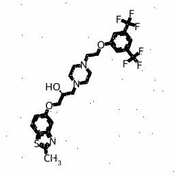 Cc1nc2cc(OC[C@H](O)CN3CCN(CCOc4cc(C(F)(F)F)cc(C(F)(F)F)c4)CC3)ccc2s1